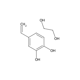 C=Cc1ccc(O)c(O)c1.OCCO